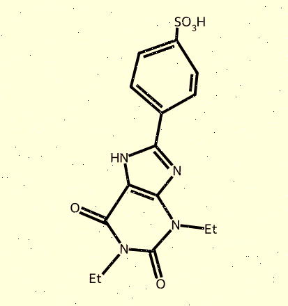 CCn1c(=O)c2[nH]c(-c3ccc(S(=O)(=O)O)cc3)nc2n(CC)c1=O